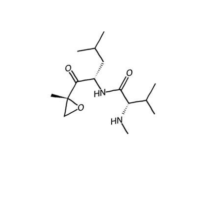 CN[C@H](C(=O)N[C@@H](CC(C)C)C(=O)[C@@]1(C)CO1)C(C)C